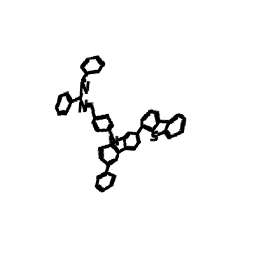 C(=N\C(/N=C/c1ccc(-n2c3ccc(-c4ccccc4)cc3c3ccc(-c4cccc5c4sc4ccccc45)cc32)cc1)c1ccccc1)/c1ccccc1